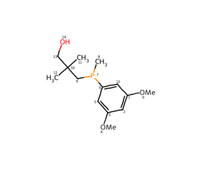 COc1cc(OC)cc(P(C)CC(C)(C)CO)c1